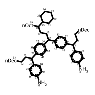 CCCCCCCCCCCCC(c1ccc(N)cc1)c1ccc(C(CCC(CCCCCCCC)C2CCCCC2)c2ccc(C(CCCCCCCCCCCC)c3ccc(N)cc3)cc2)cc1